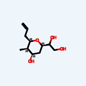 C=CC[C@H]1O[C@@H](C(O)CO)C[C@H](O)[C@H]1C